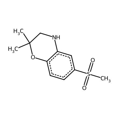 CC1(C)CNc2cc(S(C)(=O)=O)ccc2O1